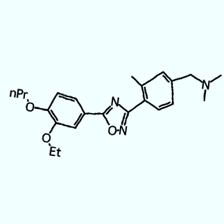 CCCOc1ccc(-c2nc(-c3ccc(CN(C)C)cc3C)no2)cc1OCC